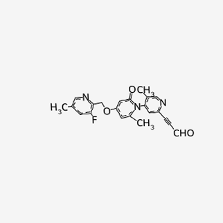 Cc1cnc(COc2cc(C)n(-c3cc(C#CC=O)ncc3C)c(=O)c2)c(F)c1